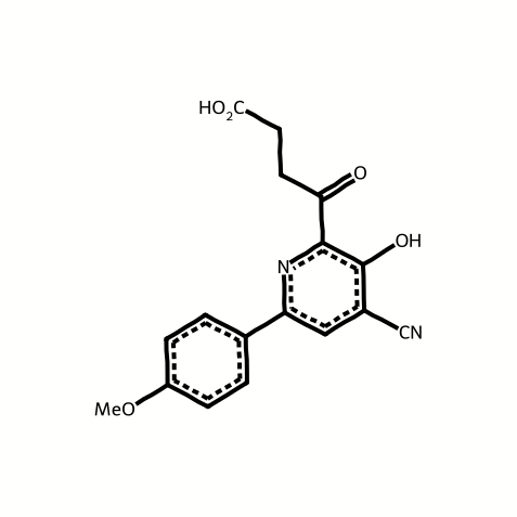 COc1ccc(-c2cc(C#N)c(O)c(C(=O)CCC(=O)O)n2)cc1